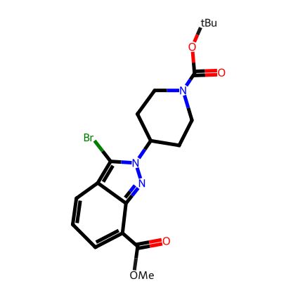 COC(=O)c1cccc2c(Br)n(C3CCN(C(=O)OC(C)(C)C)CC3)nc12